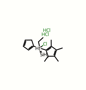 C[CH2][Hf](=[SiH2])([Cl])([C]1=CC=CC1)[C]1=C(C)C(C)=C(C)C1C.Cl.Cl